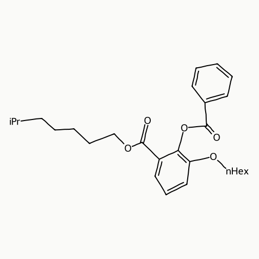 CCCCCCOc1cccc(C(=O)OCCCCCC(C)C)c1OC(=O)c1ccccc1